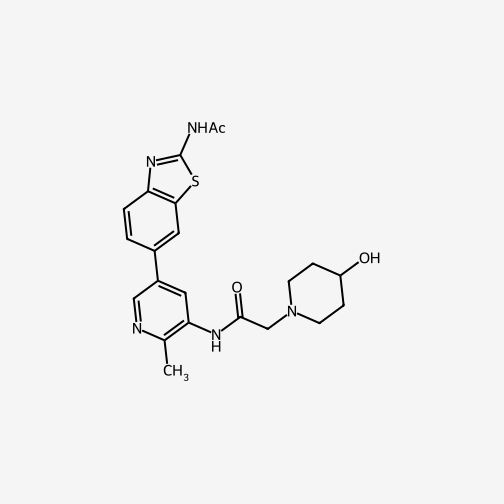 CC(=O)Nc1nc2ccc(-c3cnc(C)c(NC(=O)CN4CCC(O)CC4)c3)cc2s1